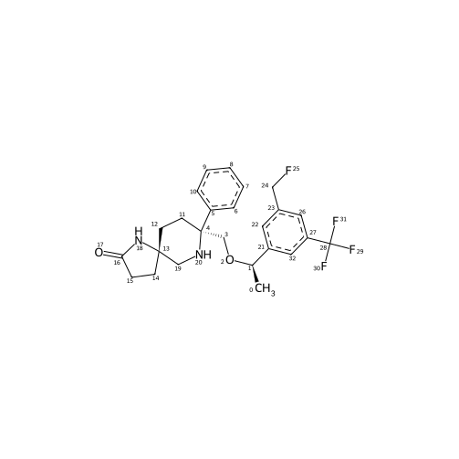 C[C@@H](OC[C@@]1(c2ccccc2)CC[C@]2(CCC(=O)N2)CN1)c1cc(CF)cc(C(F)(F)F)c1